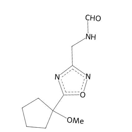 COC1(c2nc(CNC=O)no2)CCCC1